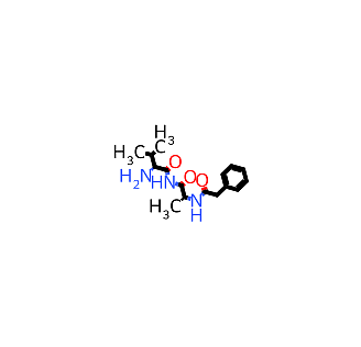 CC(C)[C@H](N)C(=O)NC(=O)[C@H](C)NC(=O)Cc1ccccc1